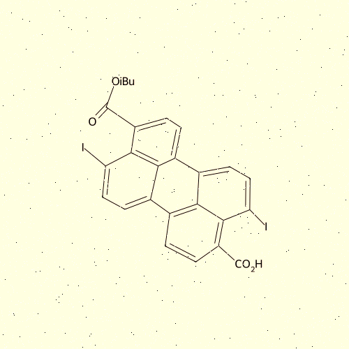 CC(C)COC(=O)c1ccc2c3ccc(I)c4c(C(=O)O)ccc(c5ccc(I)c1c52)c43